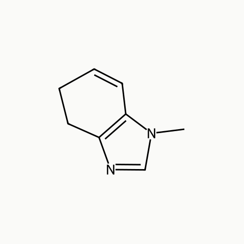 Cn1cnc2c1C=CCC2